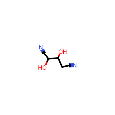 N#CCC(O)C(O)C#N